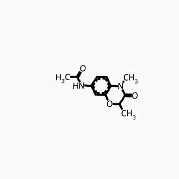 CC(=O)Nc1ccc2c(c1)OC(C)C(=O)N2C